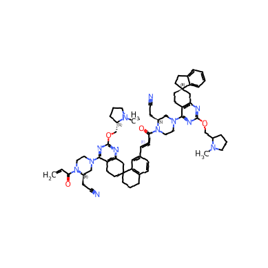 C=CC(=O)N1CCN(c2nc(OC[C@@H]3CCCN3C)nc3c2CCC2(CCCc4ccc(/C=C/C(=O)N5CCN(c6nc(OCC7CCCN7C)nc7c6CC[C@]6(CCc8ccccc86)C7)C[C@@H]5CC#N)cc42)C3)C[C@H]1CC#N